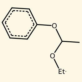 C[CH]OC(C)Oc1ccccc1